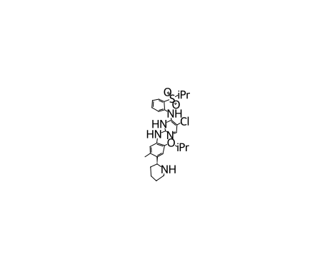 Cc1cc(NC2N=CC(Cl)=C(Nc3ccccc3S(=O)(=O)C(C)C)N2)c(OC(C)C)cc1[C@@H]1CCCCN1